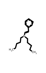 CCCCCN(C=Cc1ccccc1)CCCCC